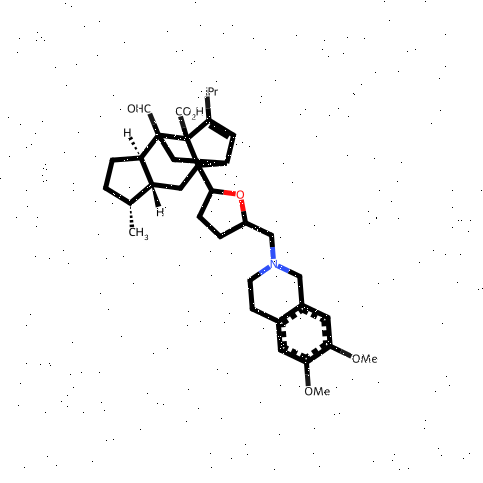 COc1cc2c(cc1OC)CN(CC1CCC(C34C[C@@H]5[C@H](C)CC[C@H]5C5(C=O)CC3C=C(C(C)C)C45C(=O)O)O1)CC2